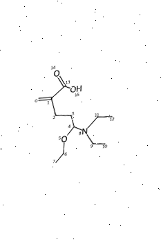 C=C(CCC(OCC)N(CC)CC)C(=O)O